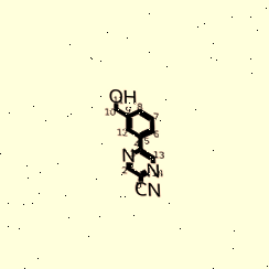 N#Cc1cnc(-c2cccc(CO)c2)cn1